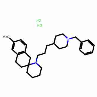 COc1ccc2c(c1)CCC1(CCCCN1CCCC1CCN(Cc3ccccc3)CC1)C2.Cl.Cl